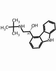 CC(C)(C)NC[C@H](O)c1cccc2[nH]c3ccccc3c12